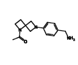 CC(=O)N1CCC12CN(c1ccc(CN)cc1)C2